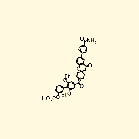 CCOc1cc(C(=O)N2CCC3(CC2)CC(=O)c2cc(-c4ccc(C(N)=O)cn4)ccc2O3)cc(OCC)c1-c1cccc(OC(=O)O)c1